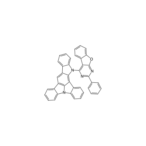 c1ccc(-c2nc(-n3c4ccccc4c4cc5c6ccccc6n6c7ccccc7c(c43)c56)c3c(n2)oc2ccccc23)cc1